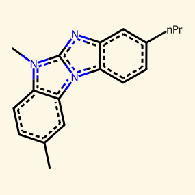 CCCc1ccc2c(c1)nc1n(C)c3ccc(C)cc3n21